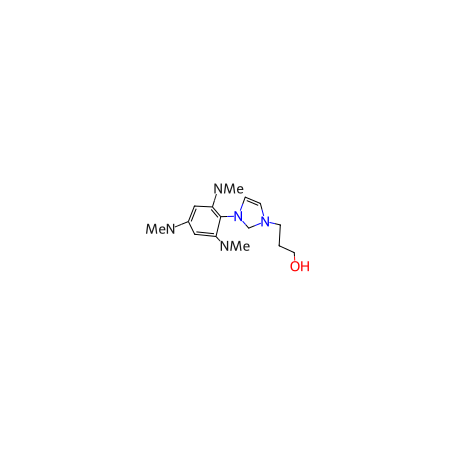 CNc1cc(NC)c(N2C=CN(CCCO)C2)c(NC)c1